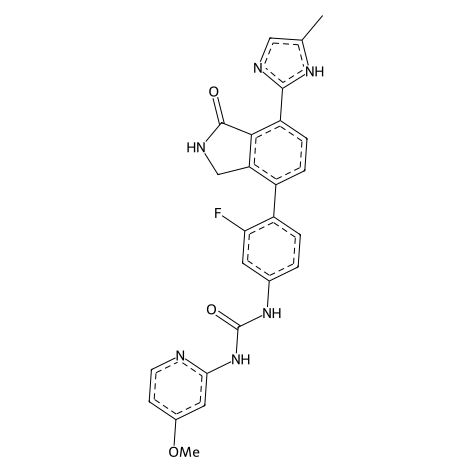 COc1ccnc(NC(=O)Nc2ccc(-c3ccc(-c4ncc(C)[nH]4)c4c3CNC4=O)c(F)c2)c1